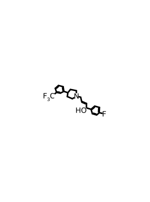 OC(C=CCN1CCC(c2cccc(C(F)(F)F)c2)CC1)c1ccc(F)cc1